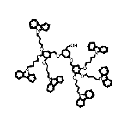 OCc1cc(OCc2cc(OCCCCn3c4ccccc4c4ccccc43)c(OCCCCn3c4ccccc4c4ccccc43)c(OCCCCn3c4ccccc4c4ccccc43)c2)cc(OCc2cc(OCCCCn3c4ccccc4c4ccccc43)c(OCCCCn3c4ccccc4c4ccccc43)c(OCCCCn3c4ccccc4c4ccccc43)c2)c1